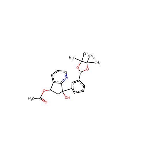 CC(=O)OC1CC(O)(c2cccc(B3OC(C)(C)C(C)(C)O3)c2)c2ncccc21